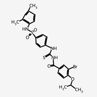 Cc1ccc(NS(=O)(=O)c2ccc(NC(=S)NC(=O)c3ccc(OC(C)C)c(Br)c3)cc2)c(C)c1